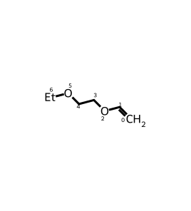 C=COCCOCC